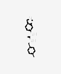 Cc1ccc(CNC(=O)Nc2ccc3cnsc3c2)cc1